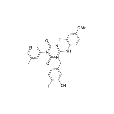 COc1ccc(Nc2nc(=O)n(-c3cncc(C)c3)c(=O)n2Cc2ccc(F)c(C#N)c2)c(F)c1